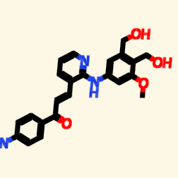 COc1cc(Nc2ncccc2/C=C/C(=O)c2ccc(N)cc2)cc(CO)c1CO